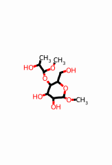 COC(OC1C(CO)OC(OC)C(O)C1O)C(C)O